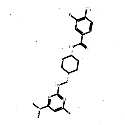 Cc1cc(N(C)C)nc(NC[C@H]2CC[C@@H](NC(=O)c3ccc(C(F)(F)F)c(F)c3)CC2)n1